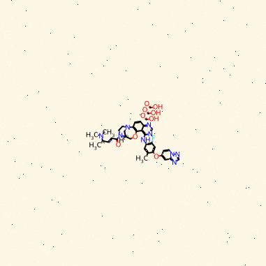 Cc1cc(Nc2ncnc3ccc4c(c23)OC[C@H]2CN4CCN2C(=O)/C=C/[C@H](C)N(C)C)c(F)cc1Oc1ccn2ncnc2c1.O=CO.O=CO.O=CO